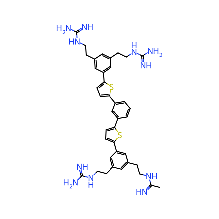 CC(=N)NCCc1cc(CCNC(=N)N)cc(-c2ccc(-c3cccc(-c4ccc(-c5cc(CCNC(=N)N)cc(CCNC(=N)N)c5)s4)c3)s2)c1